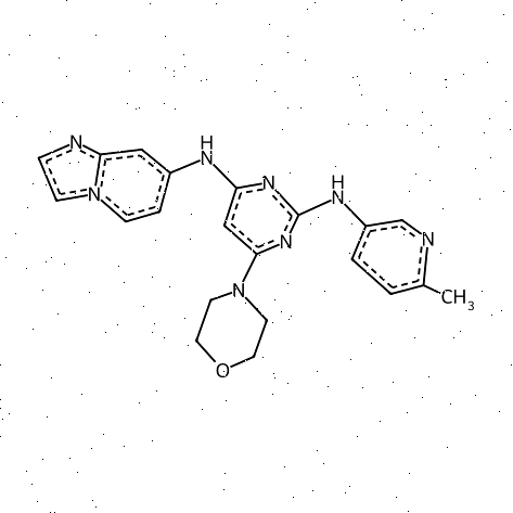 Cc1ccc(Nc2nc(Nc3ccn4ccnc4c3)cc(N3CCOCC3)n2)cn1